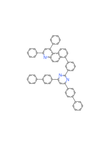 c1ccc(-c2ccc(-c3cc(-c4ccc(-c5ccccc5)cc4)nc(-c4cccc(-c5cccc6c5ccc5nc(-c7ccccc7)cc(-c7ccccc7)c56)c4)n3)cc2)cc1